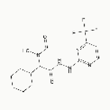 O=CN(O)C(C(=O)NNc1nccc(C(F)(F)F)n1)C1CCCCC1